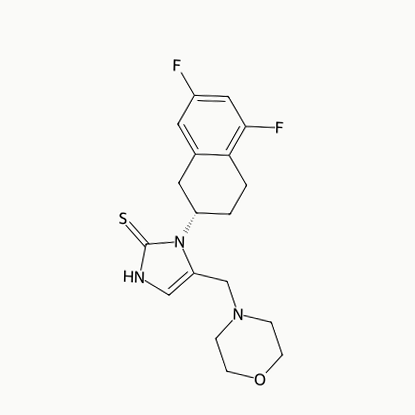 Fc1cc(F)c2c(c1)C[C@@H](n1c(CN3CCOCC3)c[nH]c1=S)CC2